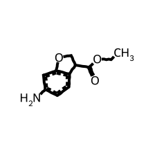 CCOC(=O)C1COc2cc(N)ccc21